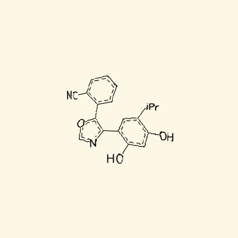 CC(C)c1cc(-c2ncoc2-c2ccccc2C#N)c(O)cc1O